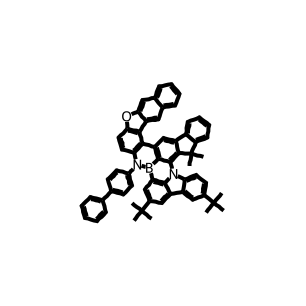 CC(C)(C)c1ccc2c(c1)c1cc(C(C)(C)C)cc3c1n2-c1c2c(cc4c1C(C)(C)c1ccccc1-4)-c1c(ccc4oc5cc6ccccc6cc5c14)N(c1ccc(-c4ccccc4)cc1)B23